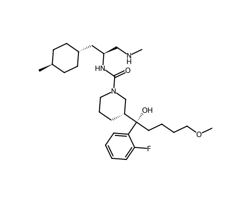 CNC[C@H](C[C@H]1CC[C@H](C)CC1)NC(=O)N1CCC[C@@H]([C@@](O)(CCCCOC)c2ccccc2F)C1